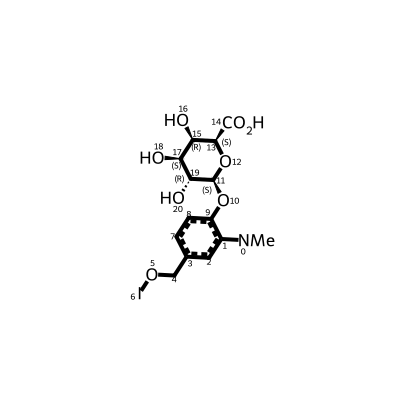 CNc1cc(COI)ccc1O[C@@H]1O[C@H](C(=O)O)[C@H](O)[C@H](O)[C@H]1O